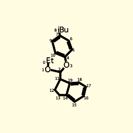 CCOC(Oc1ccc(C(C)CC)cc1)C1CCc2ccccc21